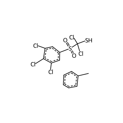 Cc1ccccc1.O=S(=O)(c1cc(Cl)c(Cl)c(Cl)c1)C(S)(Cl)Cl